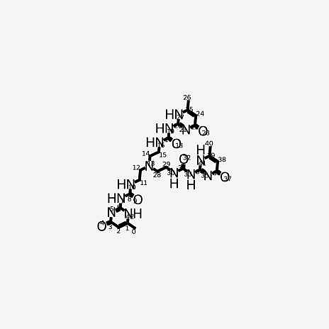 Cc1cc(=O)nc(NC(=O)NCCN(CCNC(=O)Nc2nc(=O)cc(C)[nH]2)CCNC(=O)Nc2nc(=O)cc(C)[nH]2)[nH]1